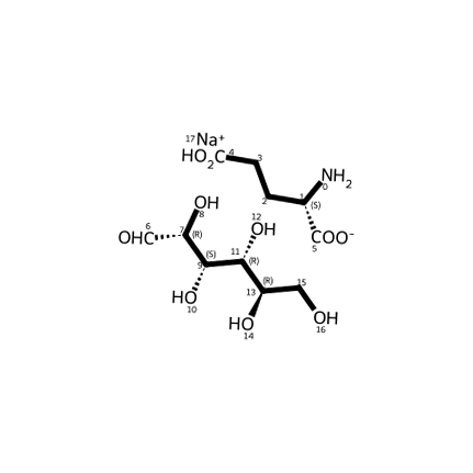 N[C@@H](CCC(=O)O)C(=O)[O-].O=C[C@H](O)[C@@H](O)[C@H](O)[C@H](O)CO.[Na+]